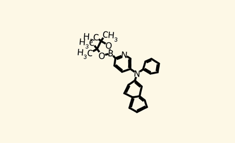 CC1(C)OB(c2ccc(N(c3ccccc3)c3ccc4ccccc4c3)cn2)OC1(C)C